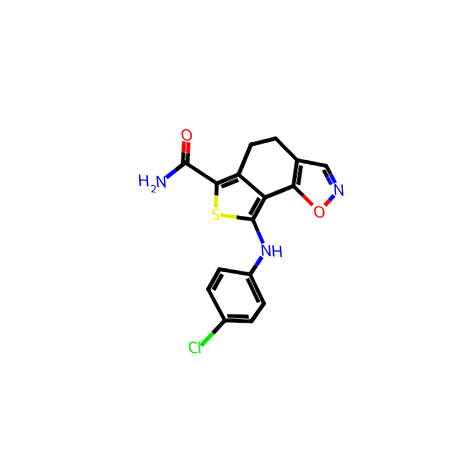 NC(=O)c1sc(Nc2ccc(Cl)cc2)c2c1CCc1cnoc1-2